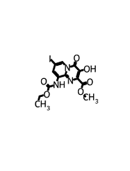 CCOC(=O)Nc1cc(I)cn2c(=O)c(O)c(C(=O)OC)nc12